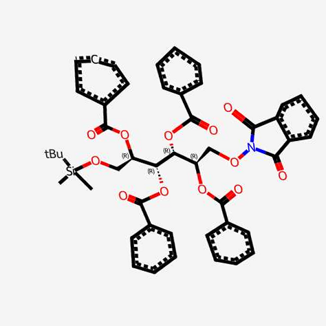 CC(C)(C)[Si](C)(C)OC[C@@H](OC(=O)c1ccccc1)[C@@H](OC(=O)c1ccccc1)[C@H](OC(=O)c1ccccc1)[C@@H](CON1C(=O)c2ccccc2C1=O)OC(=O)c1ccccc1